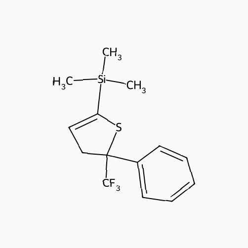 C[Si](C)(C)C1=CCC(c2ccccc2)(C(F)(F)F)S1